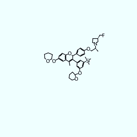 CC1=C(c2cc(OC3CCCCO3)cc([Si](C)(C)C)c2)C(c2ccc(OC[C@H](C)N3CC[C@@H](CF)C3)cc2)Oc2ccc(OC3CCCCO3)cc21